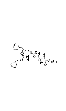 CC(C)[C@H](NC(=O)OC(C)(C)C)c1nnc([C@H](COCc2ccccc2)NC(=O)OCc2ccccc2)o1